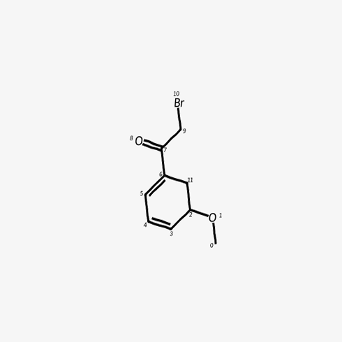 COC1C=CC=C(C(=O)CBr)C1